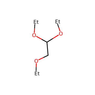 [CH2]COCC(OCC)OCC